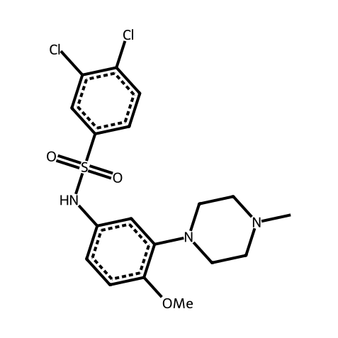 COc1ccc(NS(=O)(=O)c2ccc(Cl)c(Cl)c2)cc1N1CCN(C)CC1